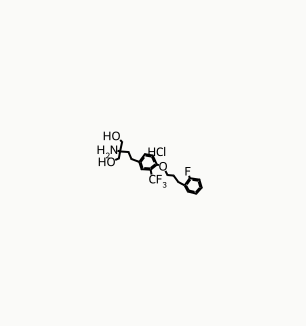 Cl.NC(CO)(CO)CCc1ccc(OCCCc2ccccc2F)c(C(F)(F)F)c1